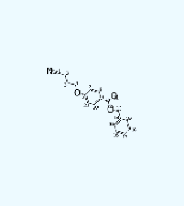 N#CCCCOc1ccc(C(=O)OCc2ccccc2)cc1